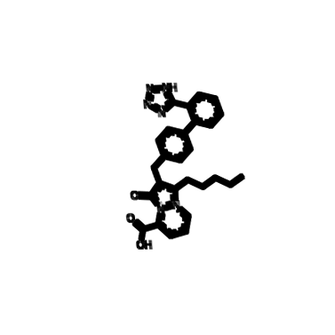 CCCCCc1c(Cc2ccc(-c3ccccc3-c3nnn[nH]3)cc2)c(=O)n2c(C(=O)O)cccn12